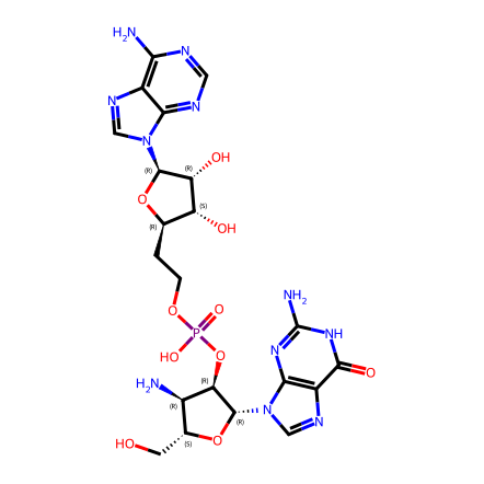 Nc1nc2c(ncn2[C@@H]2O[C@H](CO)[C@@H](N)[C@H]2OP(=O)(O)OCC[C@H]2O[C@@H](n3cnc4c(N)ncnc43)[C@H](O)[C@@H]2O)c(=O)[nH]1